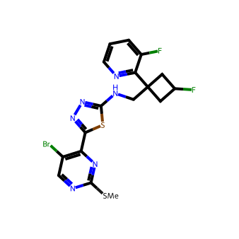 CSc1ncc(Br)c(-c2nnc(NCC3(c4ncccc4F)CC(F)C3)s2)n1